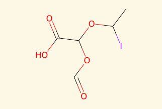 CC(I)OC(OC=O)C(=O)O